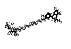 CCOCCNC(=O)C(C)(C)C(=O)NCCOCCOCCOCCNCc1cccc(C2CN(C)Cc3c(Cl)cc(Cl)cc32)c1